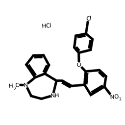 CN1CCNC(/C=C/c2cc([N+](=O)[O-])ccc2Oc2ccc(Cl)cc2)c2ccccc21.Cl